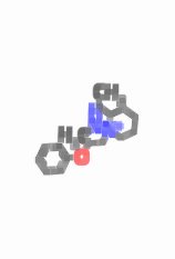 CCC1CCCC[N+]1(CCOc1ccccc1)NC